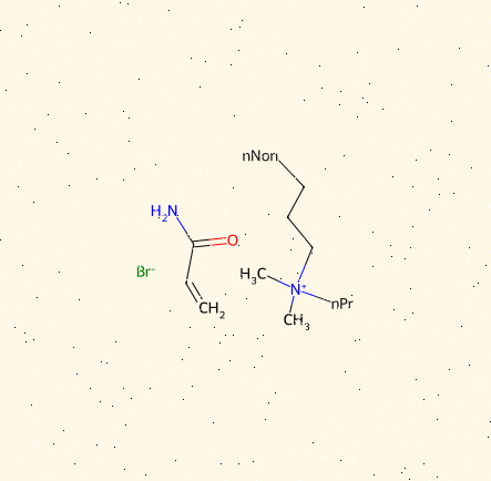 C=CC(N)=O.CCCCCCCCCCCC[N+](C)(C)CCC.[Br-]